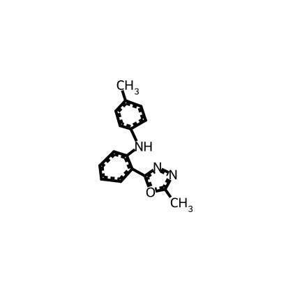 Cc1ccc(Nc2ccccc2-c2nnc(C)o2)cc1